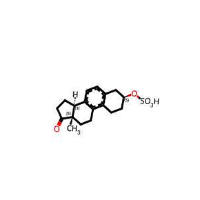 C[C@]12CCc3c(ccc4c3CC[C@H](OS(=O)(=O)O)C4)[C@@H]1CCC2=O